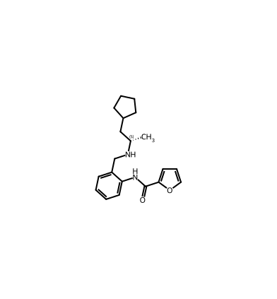 C[C@@H](CC1CCCC1)NCc1ccccc1NC(=O)c1ccco1